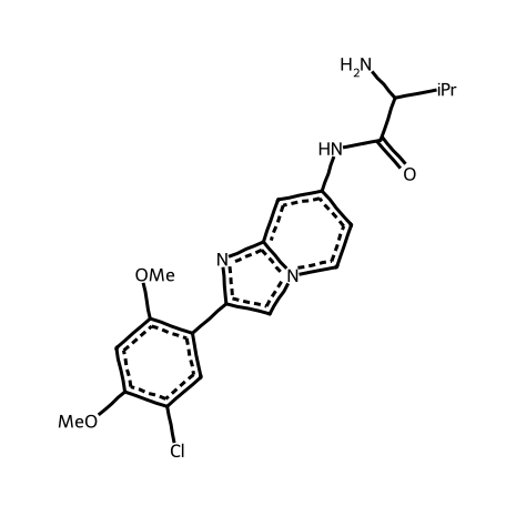 COc1cc(OC)c(-c2cn3ccc(NC(=O)C(N)C(C)C)cc3n2)cc1Cl